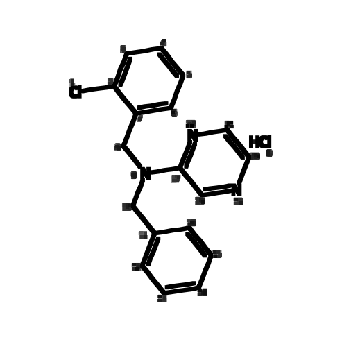 Cl.Clc1ccccc1CN(Cc1ccccc1)c1cnccn1